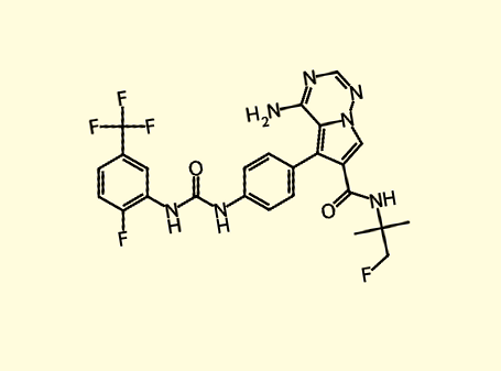 CC(C)(CF)NC(=O)c1cn2ncnc(N)c2c1-c1ccc(NC(=O)Nc2cc(C(F)(F)F)ccc2F)cc1